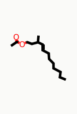 CCCCCCCC=CC(C)CCOC(C)=O